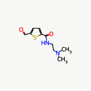 CN(C)CCNC(=O)c1ccc(C=O)s1